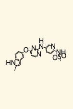 Cc1cc2cc(Oc3ccnc(Nc4ccc(NS(C)(=O)=O)nc4)n3)ccc2[nH]1